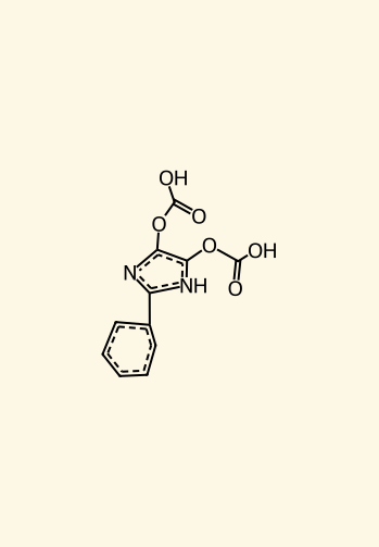 O=C(O)Oc1nc(-c2ccccc2)[nH]c1OC(=O)O